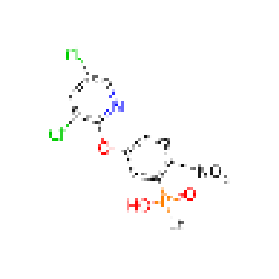 CCP(=O)(O)c1cc(Oc2ncc(Cl)cc2Cl)ccc1[N+](=O)[O-]